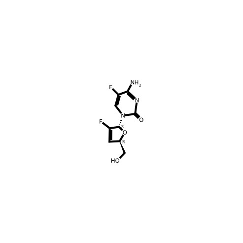 Nc1nc(=O)n([C@@H]2O[C@@H](CO)C=C2F)cc1F